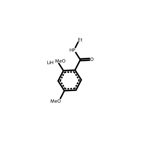 CCPC(=O)c1ccc(OC)cc1OC.[LiH]